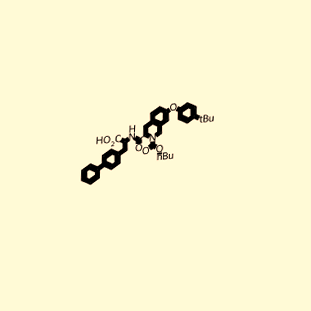 CCCCOC(=O)N1Cc2cc(Oc3ccc(C(C)(C)C)cc3)ccc2C[C@H]1C(=O)NC(Cc1ccc(-c2ccccc2)cc1)C(=O)O